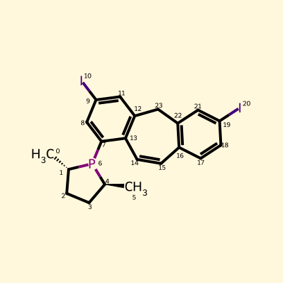 C[C@H]1CC[C@H](C)P1c1cc(I)cc2c1C=Cc1ccc(I)cc1C2